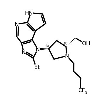 CCc1nc2cnc3[nH]ccc3c2n1[C@H]1C[C@H](CO)N(CCCC(F)(F)F)C1